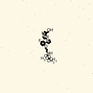 CC(C)(C)OC(=O)NCCCOc1ccc(F)cc1[C@H]1CCCN1c1ccn2ncc(CO)c2n1